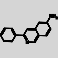 Nc1ccc2cnc(-c3ccccc3)cc2c1